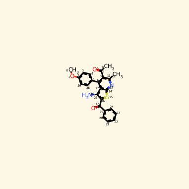 COc1ccc(-c2c(C(C)=O)c(C)nc3sc(C(=O)c4ccccc4)c(N)c23)cc1